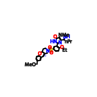 CCCC(=N)c1nc(-c2cc(S(=O)(=O)N3CCC(=O)/C(=C\c4cccc(COC)c4)C3)ccc2OCC)[nH]c(=O)c1NC